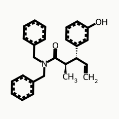 C=C[C@@H](c1cccc(O)c1)[C@@H](C)C(=O)N(Cc1ccccc1)Cc1ccccc1